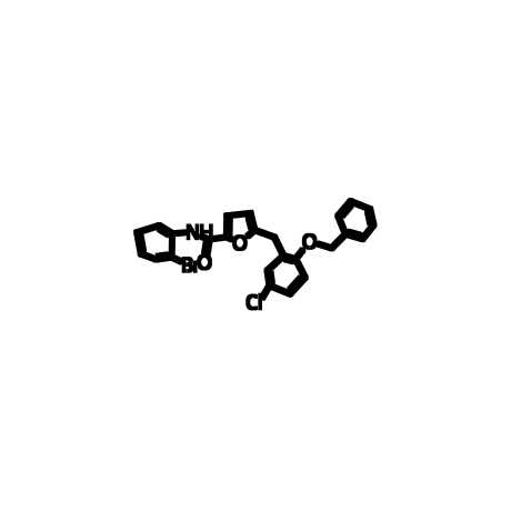 O=C(Nc1ccccc1Br)c1ccc(Cc2cc(Cl)ccc2OCc2ccccc2)o1